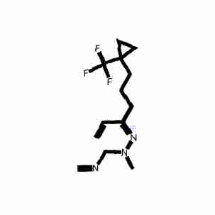 C=C/C(CCCC1(C(F)(F)F)CC1)=N\N(C)CN=C